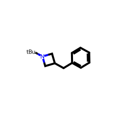 CC(C)(C)N1CC(Cc2ccccc2)C1